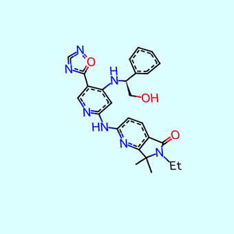 CCN1C(=O)c2ccc(Nc3cc(N[C@H](CO)c4ccccc4)c(-c4ncno4)cn3)nc2C1(C)C